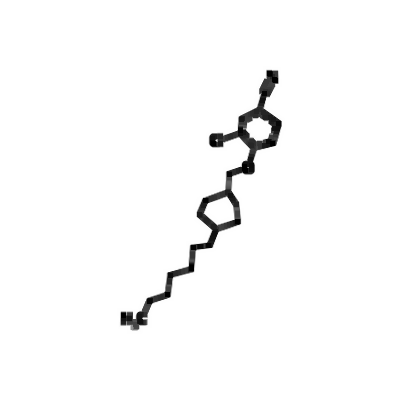 CCCCCCCC1CCC(COc2ccc(C#N)cc2Cl)CC1